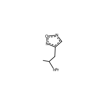 CCCC(C)Cc1cnon1